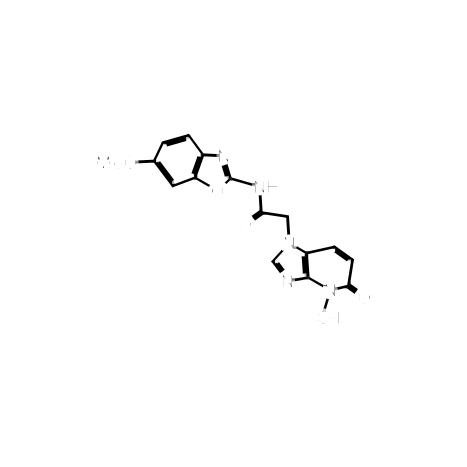 COc1ccc2nc(NC(=O)Cn3cnc4c3ccc(=O)n4C)oc2c1